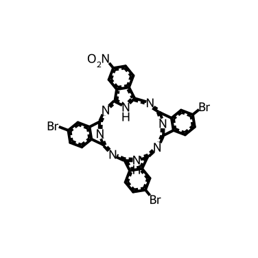 O=[N+]([O-])c1ccc2c3nc4nc(nc5[nH]c(nc6nc(nc([nH]3)c2c1)-c1cc(Br)ccc1-6)c1ccc(Br)cc51)-c1ccc(Br)cc1-4